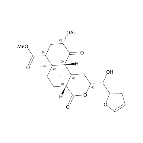 COC(=O)[C@@H]1C[C@H](OC(C)=O)C(=O)[C@H]2[C@@]1(C)CC[C@H]1C(=O)O[C@@H](C(O)c3ccco3)C[C@]21C